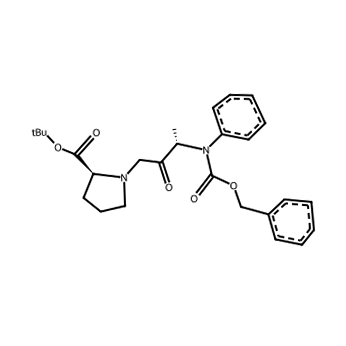 C[C@@H](C(=O)CN1CCC[C@H]1C(=O)OC(C)(C)C)N(C(=O)OCc1ccccc1)c1ccccc1